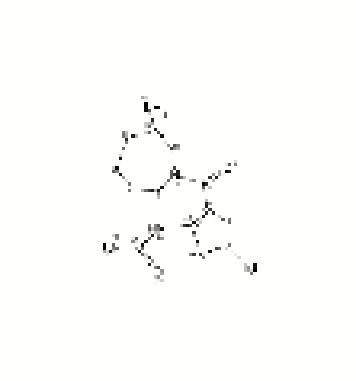 CCc1cc(C(=O)N2CCCCC(N)C2)c(NC(N)=O)s1